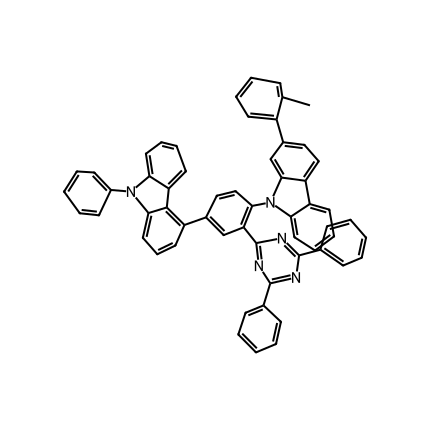 Cc1ccccc1-c1ccc2c3ccccc3n(-c3ccc(-c4cccc5c4c4ccccc4n5-c4ccccc4)cc3-c3nc(-c4ccccc4)nc(-c4ccccc4)n3)c2c1